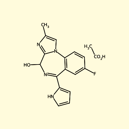 CC(=O)O.Cc1cn2c(n1)C(O)N=C(c1ccc[nH]1)c1cc(F)ccc1-2